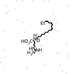 CC/C=C\C/C=C\C/C=C\CCCCCCCC(=O)N[C@@H](CCCNC(=N)N)C(=O)O